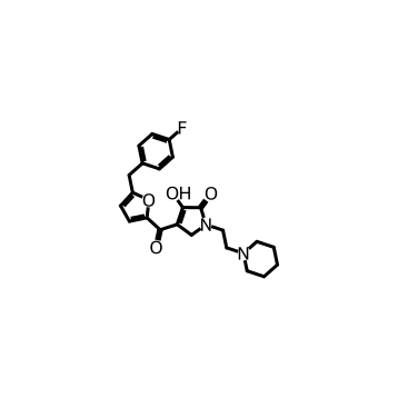 O=C(C1=C(O)C(=O)N(CCN2CCCCC2)C1)c1ccc(Cc2ccc(F)cc2)o1